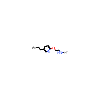 CC(=O)CCc1ccc(OCCNC(C)C)nc1